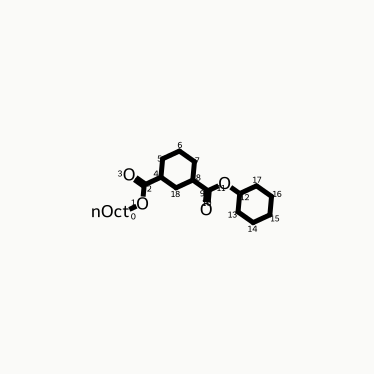 CCCCCCCCOC(=O)C1CCCC(C(=O)OC2CCCCC2)C1